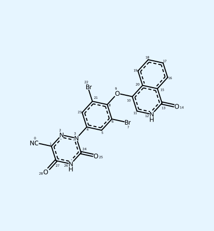 N#Cc1nn(-c2cc(Br)c(Oc3c[nH]c(=O)c4ccccc34)c(Br)c2)c(=O)[nH]c1=O